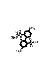 Nc1ccc(-c2ccc(N)cc2S(=O)(=O)O)c(S(=O)(=O)O)c1.[Na].[Na]